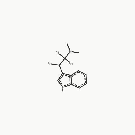 [2H]C(c1c[nH]c2ccccc12)C([2H])([2H])N(C)C